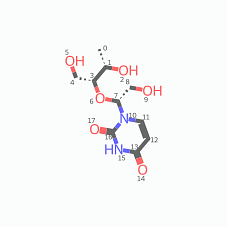 C[C@H](O)[C@@H](CO)O[C@H](CO)n1ccc(=O)[nH]c1=O